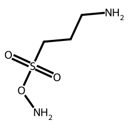 NCCCS(=O)(=O)ON